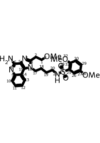 COCCc1nc2c(N)nc3ccccc3c2n1CCCCNS(=O)(=O)c1cc(OC)ccc1OC